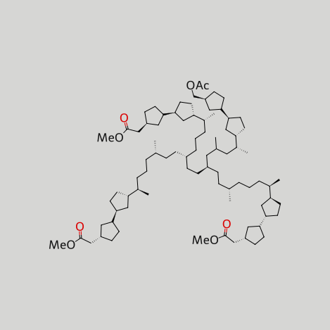 COC(=O)C[C@H]1CCC([C@H]2CC[C@H]([C@H](C)CCC[C@H](C)CC[C@H](CCC[C@@H](C)[C@H]3CC[C@H](C4CC[C@H](CC(=O)OC)C4)C3)CC[C@H](CC[C@@H](C)CCC[C@@H](C)[C@H]3CC[C@H](C4CC[C@H](CC(=O)OC)C4)C3)CC(C)C[C@@H](C)[C@H]3CC[C@H](C4CC[C@H](COC(C)=O)C4)C3)C2)C1